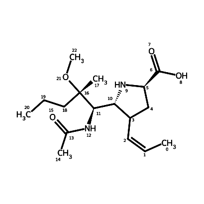 C/C=C\C1C[C@H](C(=O)O)N[C@H]1[C@@H](NC(C)=O)[C@](C)(CCC)OC